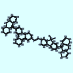 CC1(C)c2cc(/C=C/c3ccc4c5ccc(N6c7ccccc7CC7C=CC=CC76)cc5c5ccccc5c4c3)ccc2-c2ccc(N3C4=C(CCC=C4)CC4=C3CCC=C4)cc21